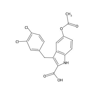 CC(=O)Oc1ccc2[nH]c(C(=O)O)c(Cc3ccc(Cl)c(Cl)c3)c2c1